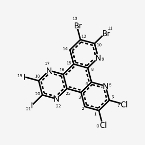 Clc1cc2c(nc1Cl)c1nc(Br)c(Br)cc1c1nc(I)c(I)nc21